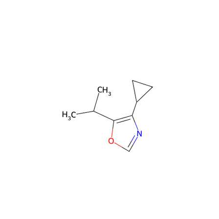 CC(C)c1ocnc1C1CC1